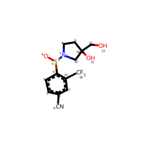 N#Cc1ccc([S+]([O-])N2CCC(O)(CO)C2)c(C(F)(F)F)c1